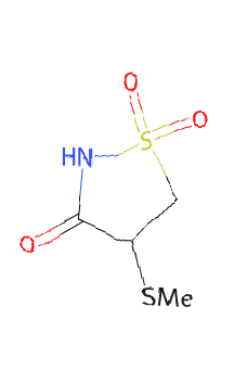 CSC1CS(=O)(=O)NC1=O